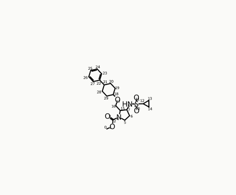 COC(=O)N1CCC(NS(=O)(=O)C2CC2)C1COC1CCC(c2ccccc2)CC1